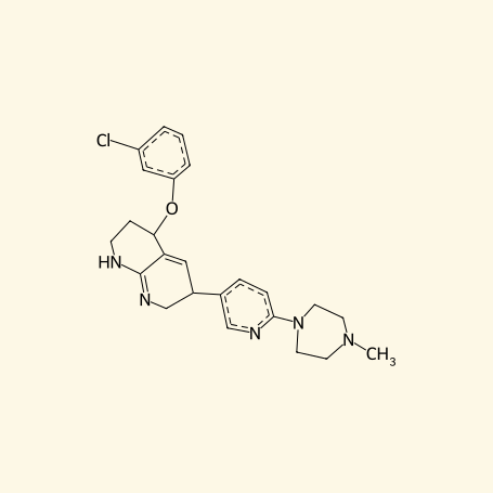 CN1CCN(c2ccc(C3C=C4C(=NC3)NCCC4Oc3cccc(Cl)c3)cn2)CC1